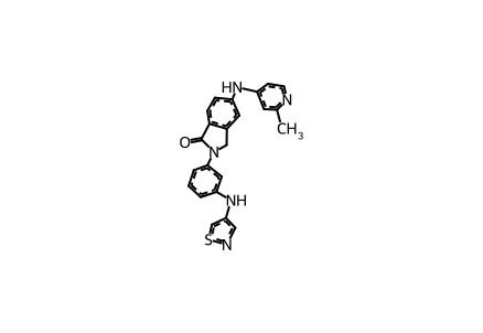 Cc1cc(Nc2ccc3c(c2)CN(c2cccc(Nc4cnsc4)c2)C3=O)ccn1